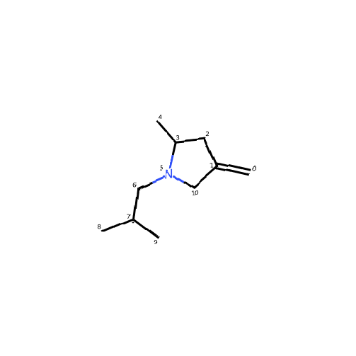 C=C1CC(C)N(C[C](C)C)C1